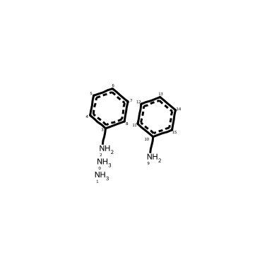 N.N.Nc1ccccc1.Nc1ccccc1